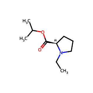 CCN1CCC[C@@H]1C(=O)OC(C)C